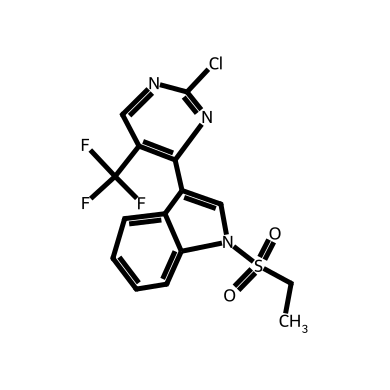 CCS(=O)(=O)n1cc(-c2nc(Cl)ncc2C(F)(F)F)c2ccccc21